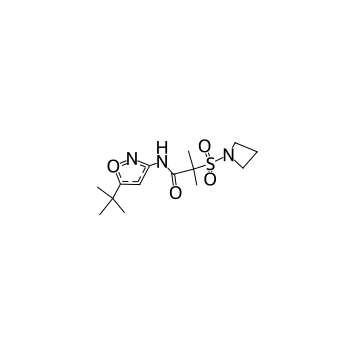 CC(C)(C)c1cc(NC(=O)C(C)(C)S(=O)(=O)N2CCC2)no1